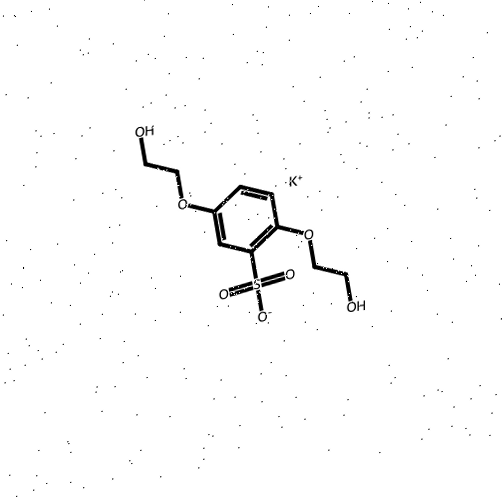 O=S(=O)([O-])c1cc(OCCO)ccc1OCCO.[K+]